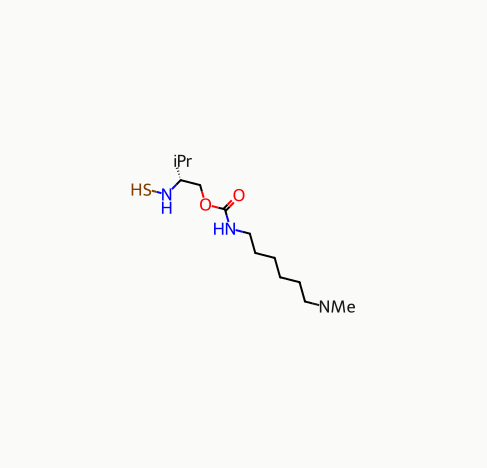 CNCCCCCCNC(=O)OC[C@H](NS)C(C)C